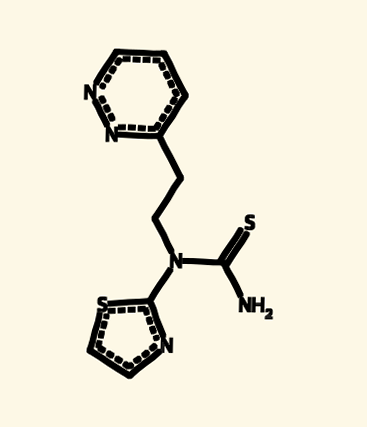 NC(=S)N(CCc1cccnn1)c1nccs1